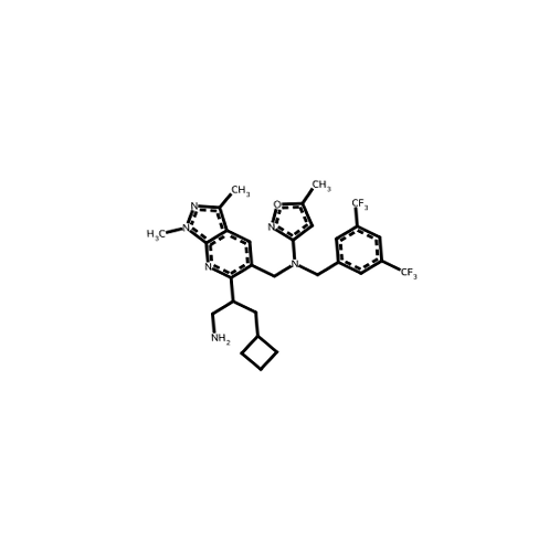 Cc1cc(N(Cc2cc(C(F)(F)F)cc(C(F)(F)F)c2)Cc2cc3c(C)nn(C)c3nc2C(CN)CC2CCC2)no1